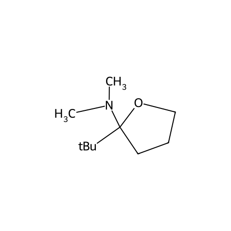 CN(C)C1(C(C)(C)C)CCCO1